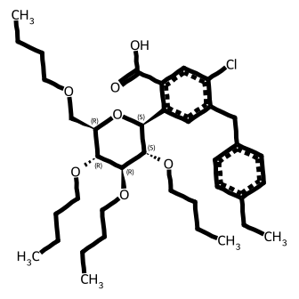 CCCCOC[C@H]1O[C@@H](c2cc(Cc3ccc(CC)cc3)c(Cl)cc2C(=O)O)[C@H](OCCCC)[C@@H](OCCCC)[C@@H]1OCCCC